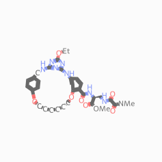 CCOc1nc2nc(n1)Nc1ccc(C(=O)N[C@@H](CNC(=O)C(=O)NC)C(=O)OC)c(c1)OCCCCCCOc1ccc(cc1)CN2